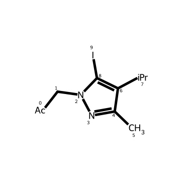 CC(=O)Cn1nc(C)c(C(C)C)c1I